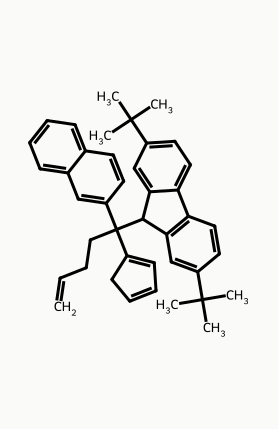 C=CCCC(C1=CC=CC1)(c1ccc2ccccc2c1)C1c2cc(C(C)(C)C)ccc2-c2ccc(C(C)(C)C)cc21